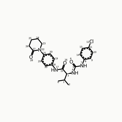 CC(C)[C@H](NC(=O)Nc1ccc(Cl)cc1)C(=O)Nc1ccc(N2CCCCC2=O)cc1